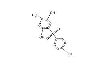 Cc1ccc(S(=O)(=O)c2cc(O)c(C)cc2O)cc1